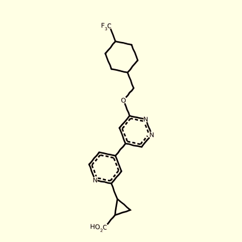 O=C(O)C1CC1c1cc(-c2cnnc(OCC3CCC(C(F)(F)F)CC3)c2)ccn1